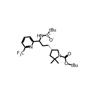 CC(C)(C)OC(=O)N1C[C@@H](CCC(N[S+]([O-])C(C)(C)C)c2cccc(C(F)(F)F)n2)CC1(C)C